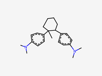 CN(C)c1ccc(C2CCCCC2(C)c2ccc(N(C)C)cc2)cc1